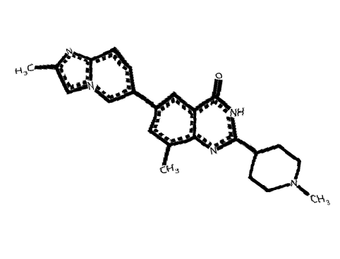 Cc1cn2cc(-c3cc(C)c4nc(C5CCN(C)CC5)[nH]c(=O)c4c3)ccc2n1